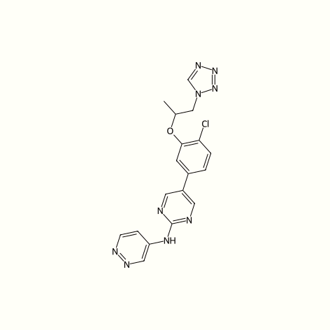 CC(Cn1cnnn1)Oc1cc(-c2cnc(Nc3ccnnc3)nc2)ccc1Cl